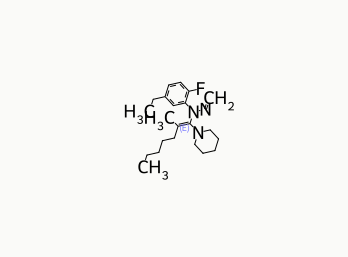 C=NN(/C(=C(\C)CCCCC)N1CCCCC1)c1cc(CC)ccc1F